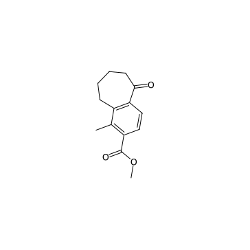 COC(=O)c1ccc2c(c1C)CCCCC2=O